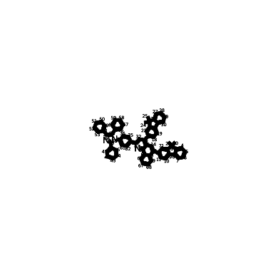 CC1(C)c2ccccc2-c2ccc(-c3cc4c(-c5ccc6c(c5)C(C)(C)c5ccccc5-6)cc(-c5ccc(-n6c(-c7ccccc7)nc(-c7ccccc7)c6-c6ccccc6)cc5)nc4c4ccccc34)cc21